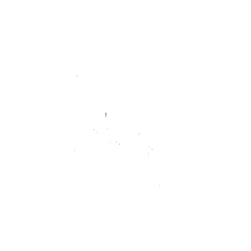 CC(=O)N[C@@H](Cc1ccc(OP(=O)(O)O)cc1)C(=O)N[C@@H](CCC(=O)O)C(=O)NCCc1ccccc1